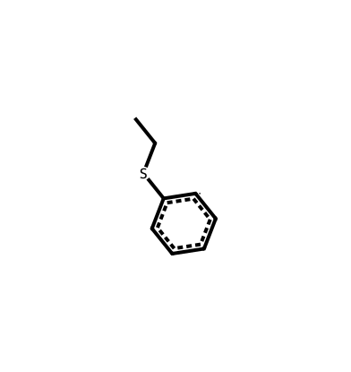 CCSc1[c]cccc1